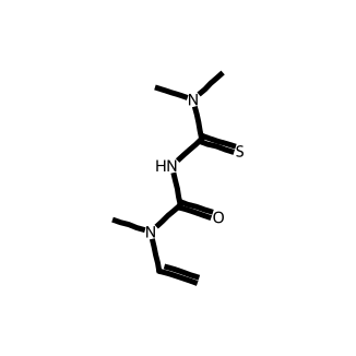 C=CN(C)C(=O)NC(=S)N(C)C